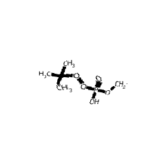 [CH2]OP(=O)(O)OOC(C)(C)C